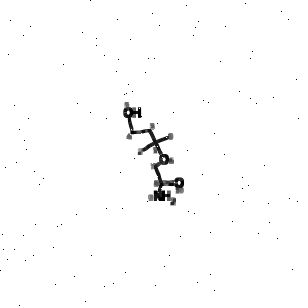 CC(C)(CCO)OCC(N)=O